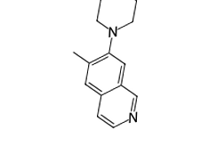 Cc1cc2ccncc2cc1N1CCCCC1